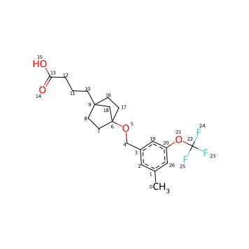 Cc1cc(COC23CCC(CCCC(=O)O)(CC2)C3)cc(OC(F)(F)F)c1